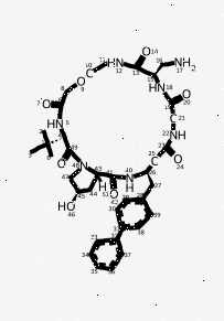 CC(C)(C)[C@@H]1NC(=O)COCCNC(=O)[C@@H](CN)NC(=O)CNC(=O)C[C@@H](Cc2ccc(-c3ccccc3)cc2)NC(=O)[C@@H]2C[C@@H](O)CN2C1=O